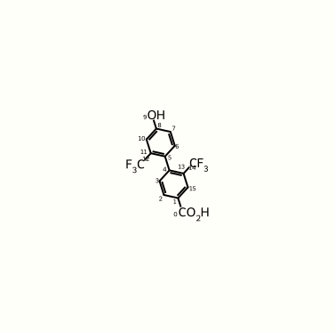 O=C(O)c1ccc(-c2ccc(O)cc2C(F)(F)F)c(C(F)(F)F)c1